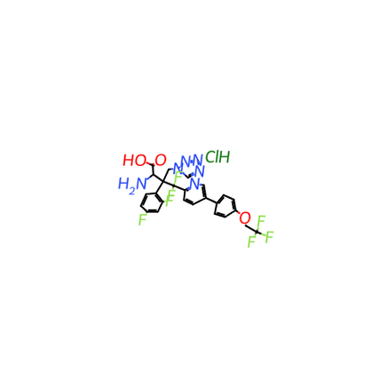 Cl.NC(C(=O)O)C(Cn1cnnn1)(c1ccc(F)cc1F)C(F)(F)c1ccc(-c2ccc(OCC(F)(F)F)cc2)cn1